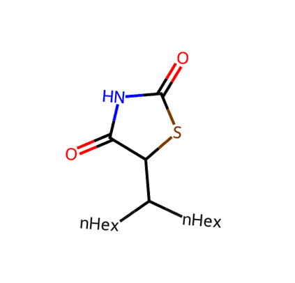 CCCCCCC(CCCCCC)C1SC(=O)NC1=O